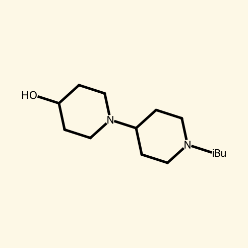 CCC(C)N1CCC(N2CCC(O)CC2)CC1